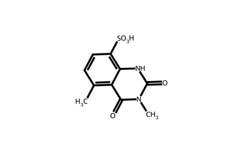 Cc1ccc(S(=O)(=O)O)c2[nH]c(=O)n(C)c(=O)c12